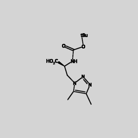 Cc1nnn(C[C@H](NC(=O)OC(C)(C)C)C(=O)O)c1C